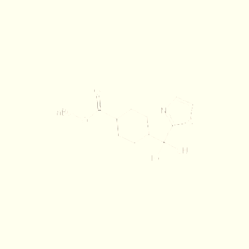 CCCCOC(=O)C1CCC(C(C)(O)c2nccs2)CC1